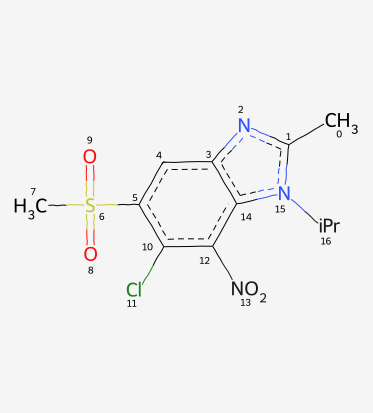 Cc1nc2cc(S(C)(=O)=O)c(Cl)c([N+](=O)[O-])c2n1C(C)C